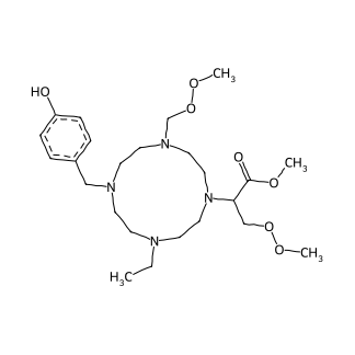 CCN1CCN(Cc2ccc(O)cc2)CCN(COOC)CCN(C(COOC)C(=O)OC)CC1